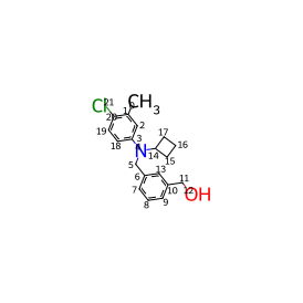 Cc1cc(N(Cc2cccc(CO)c2)C2CCC2)ccc1Cl